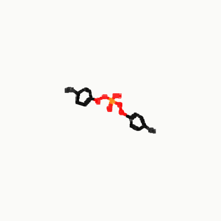 CC(C)(C)c1ccc(OOP(=O)(O)OOc2ccc(C(C)(C)C)cc2)cc1